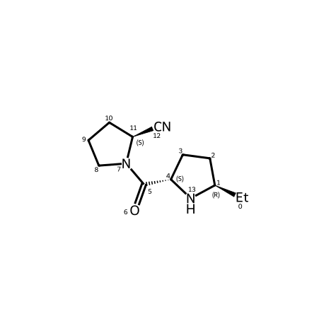 CC[C@@H]1CC[C@@H](C(=O)N2CCC[C@H]2C#N)N1